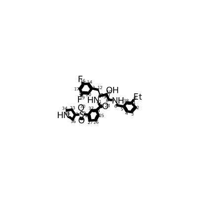 CCc1cccc(CNC[C@H](O)[C@H](Cc2cc(F)cc(F)c2)NC(=O)c2cccc(S(=O)(=O)C3CCNC3)c2)c1